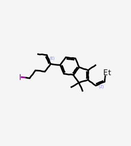 C/C=C(\CCCI)c1ccc2c(c1)C(C)(C)C(/C=C\CC)=C2C